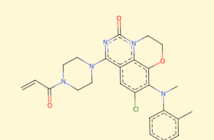 C=CC(=O)N1CCN(c2nc(=O)n3c4c(c(N(C)c5ccccc5C)c(Cl)cc24)OCC3)CC1